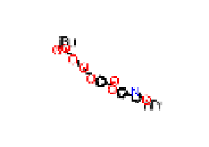 CCCOc1ccc(-c2ccc(OC(=O)c3ccc(OCCOCCOCCOC(=O)C(C)CC)cc3)cc2)nc1